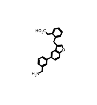 NCc1cccc(-c2ccc3occ(Cc4ccccc4CC(=O)O)c3c2)c1